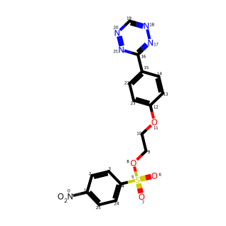 O=[N+]([O-])c1ccc(S(=O)(=O)OCCOc2ccc(-c3nncnn3)cc2)cc1